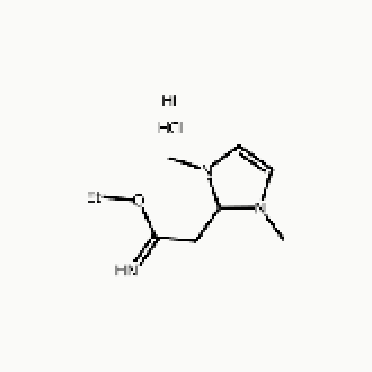 CCOC(=N)CC1N(C)C=CN1C.Cl.I